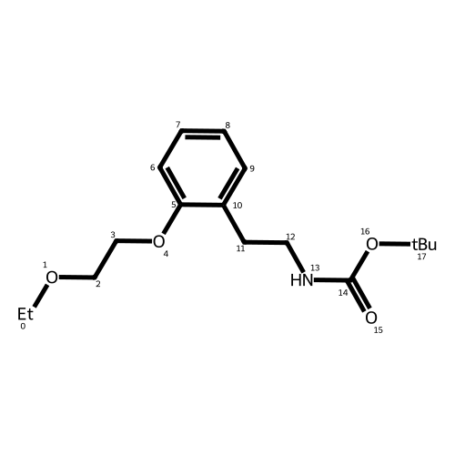 CCOCCOc1ccccc1CCNC(=O)OC(C)(C)C